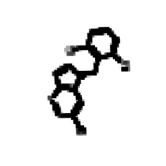 Clc1cccc(Cl)c1Cn1ccc2ncc(Br)cc21